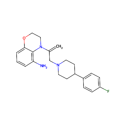 C=C(CN1CCC(c2ccc(F)cc2)CC1)N1CCOc2cccc(N)c21